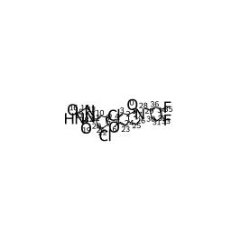 O=C1C2C=CC(Oc3c(Cl)cc(-n4ncc(=O)[nH]c4=O)cc3Cl)=CC2CCN1Cc1ccc(F)c(F)c1